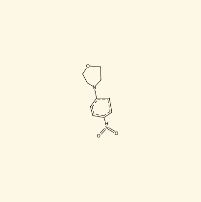 O=[SH](=O)c1ccc(N2CCOCC2)cc1